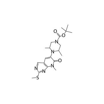 CSc1ncc2cc(N3C(C)CN(C(=O)OC(C)(C)C)CC3C)c(=O)n(C)c2n1